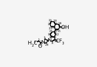 C=CC(=O)N1CC(n2cc(C(F)(F)F)c3cc(-c4cc(O)cc5ccccc45)ccc32)C1